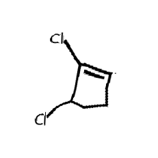 ClC1=[C]CC1Cl